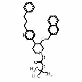 CC(C)(C)OC(=O)ON1CCC(c2ccc(CCCc3ccccc3)nc2)C(OCc2ccc3ccccc3c2)C1